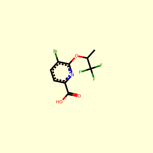 CC(Oc1nc(C(=O)O)ccc1Br)C(F)(F)F